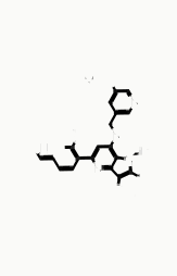 CC/C=C/C=C\C(=C(/C)OCC)c1cc(NCc2cncc(OC)c2)c2c(n1)c(C)c(CC)n2C(C)C